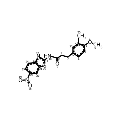 COc1ccc(CCC(=O)Nc2nc3ccc([N+](=O)[O-])cc3s2)cc1C